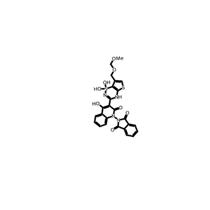 COCOCc1csc2c1S(O)(O)N=C(c1c(O)c3ccccc3n(N3C(=O)c4ccccc4C3=O)c1=O)N2